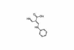 N=C/C(=C\Nc1ccccc1)C(=O)O